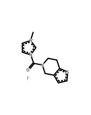 C[n+]1ccn(C(=O)N2CCc3sccc3C2)c1.[I-]